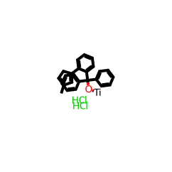 CC1=CCC(c2ccccc2C([O][Ti])(c2ccccc2)c2ccccc2)=C1.Cl.Cl